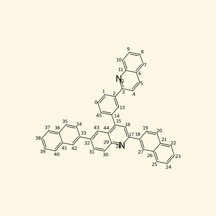 c1cc(-c2ccc3ccccc3n2)cc(-c2cc(-c3ccc4ccccc4c3)nc3ccc(-c4ccc5ccccc5c4)cc23)c1